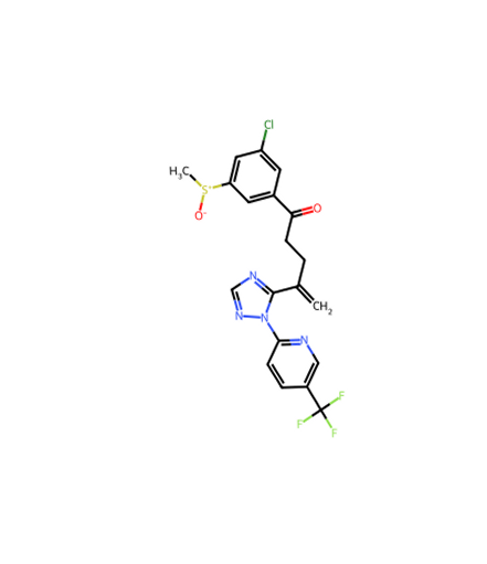 C=C(CCC(=O)c1cc(Cl)cc([S+](C)[O-])c1)c1ncnn1-c1ccc(C(F)(F)F)cn1